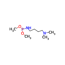 COP(NCCCCN(C)C)OC